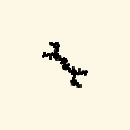 Cc1c(COc2cc(OCc3cncc(C#N)c3)c(CNCCC(C)C)cc2Cl)cccc1-c1cccc(COc2cc(OCc3cncc(C=N)c3)c(CNCCC(C)C)cc2Cl)c1C